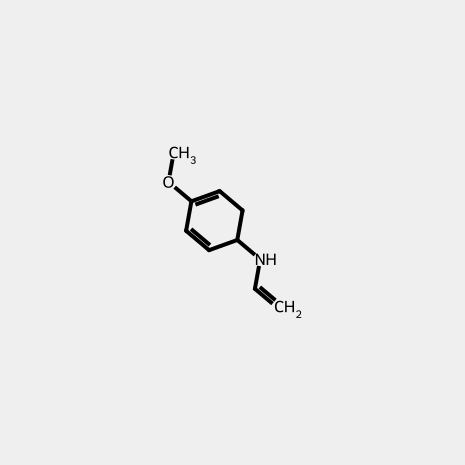 C=CNC1C=CC(OC)=CC1